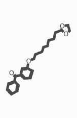 O=C(c1ccccc1)c1cccc(OCCCCCCCCC2OCCO2)c1